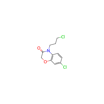 O=C1COc2cc(Cl)ccc2N1CCCCl